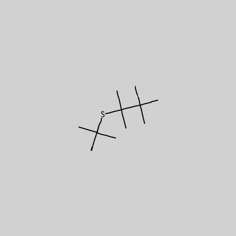 CC(C)(C)SC(C)(C)C(C)(C)C